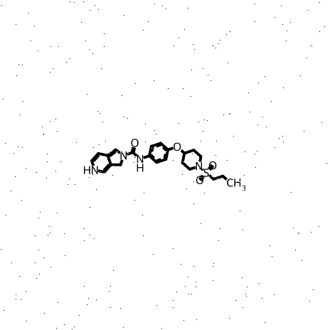 CCCS(=O)(=O)N1CCC(Oc2ccc(NC(=O)N3C=C4C=CNC=C4C3)cc2)CC1